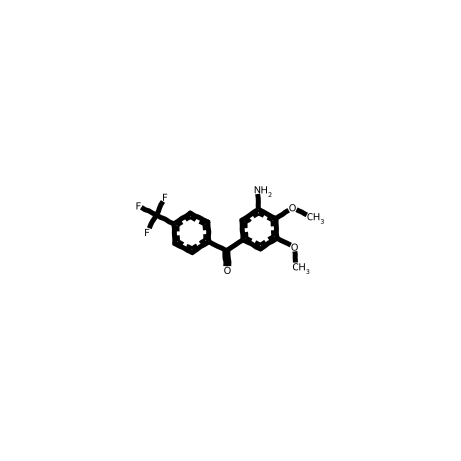 COc1cc(C(=O)c2ccc(C(F)(F)F)cc2)cc(N)c1OC